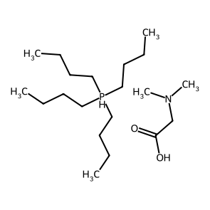 CCCC[PH](CCCC)(CCCC)CCCC.CN(C)CC(=O)O